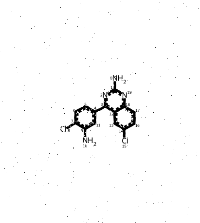 Nc1nc(-c2ccc(Cl)c(N)c2)c2cc(Cl)ccc2n1